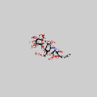 O=CC(O)C(O)C(NC1C=C(CO)C(OC2O[C@H](CO)C(O)[C@H](O)C2O)C(O)C1O)[C@H](O)CO